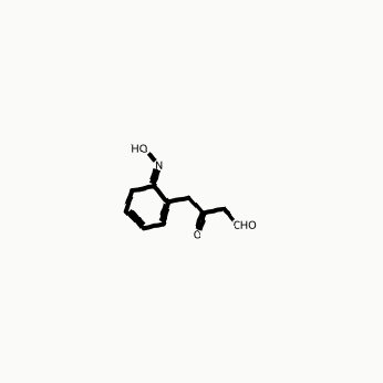 O=CCC(=O)CC1=CC=CCC1=NO